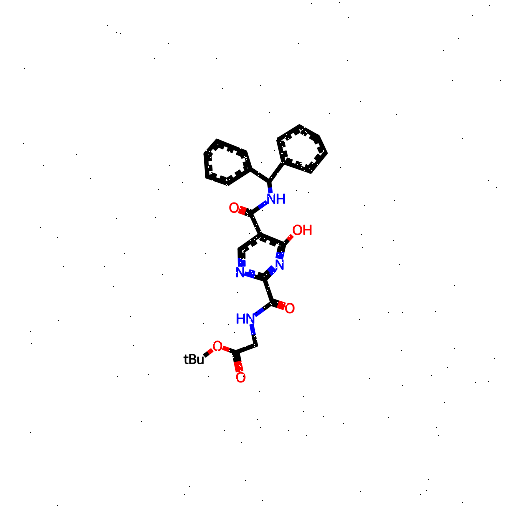 CC(C)(C)OC(=O)CNC(=O)c1ncc(C(=O)NC(c2ccccc2)c2ccccc2)c(O)n1